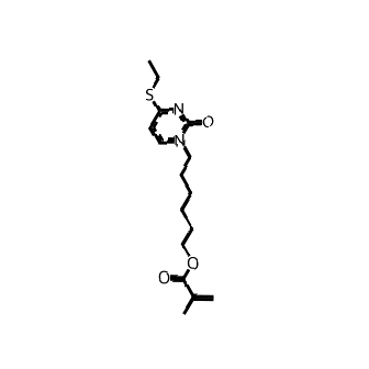 C=C(C)C(=O)OCCCCCCn1ccc(SCC)nc1=O